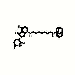 O=C1CCC(N2Cc3c(NCCCCCCCNC45CC6CC(CC(C6)C4)C5)ccc(F)c3C2=O)C(=O)N1